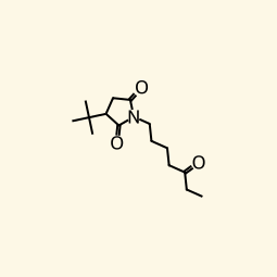 CCC(=O)CCCCN1C(=O)CC(C(C)(C)C)C1=O